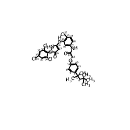 CC(C)(C)CC(C)(C)c1ccc(OCC(=O)Nc2ccc(Cl)c(Nc3cc(=O)n(-c4c(Cl)cc(Cl)cc4Cl)[nH]3)c2)cc1